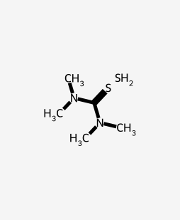 CN(C)C(=S)N(C)C.S